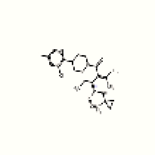 C=N/C(NC1(C)CC1)=C(\CC)C(C(=O)N1CCC(c2ncc(F)cc2Cl)CC1)=C(C)C